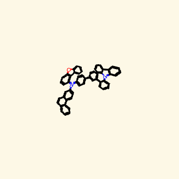 C1=CC2c3ccccc3N(c3ccccc3-c3cccc(-c4ccc(N(c5ccc6c(ccc7ccccc76)c5)c5cccc6oc7ccccc7c56)cc4)c3)C2C=C1